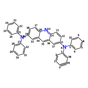 c1ccc(N(c2ccccc2)c2ccc3nc4ccc(N(c5ccccc5)c5ccccc5)cc4cc3c2)cc#1